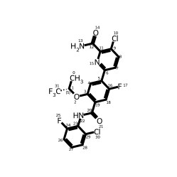 C[C@H](Oc1cc(-c2ccc(Cl)c(C(N)=O)n2)c(F)cc1C(=O)Nc1c(F)cccc1Cl)C(F)(F)F